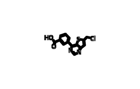 O=C(O)c1cccc(-c2ncnc3cc(CCl)sc23)c1